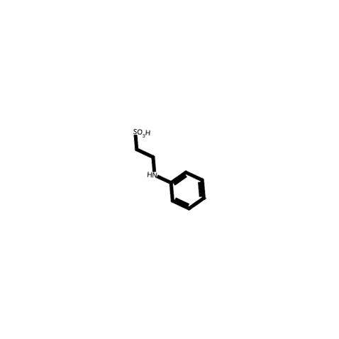 O=S(=O)(O)CCNc1[c]c[c]cc1